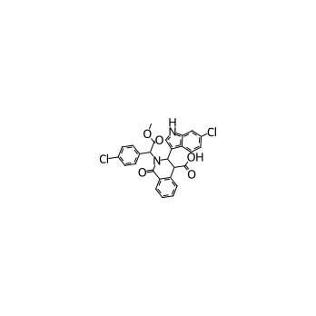 COC(=O)C(c1ccc(Cl)cc1)N1C(=O)c2ccccc2C(C(=O)O)C1c1c[nH]c2cc(Cl)ccc12